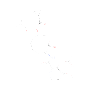 COc1ccnc(C(=O)N[C@H]2CCC[C@H](OCC(C)C)[C@@H](OC(=O)C3CC3)[C@H](C)OC2=O)c1OC(C)=O